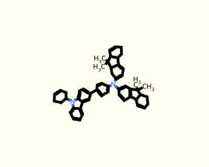 CC1(C)c2cc(N(C3=CC=C4C5CCC=CC5C(C)(C)C4C3)c3ccc(-c4ccc5c(c4)c4ccccc4n5C4CC=CCC4)cc3)ccc2C2C=CCCC21